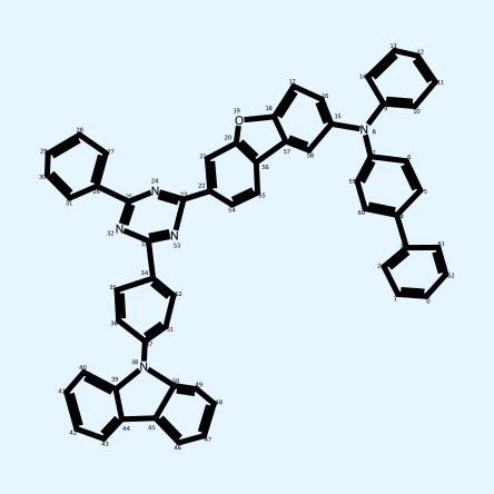 c1ccc(-c2ccc(N(c3ccccc3)c3ccc4oc5cc(-c6nc(-c7ccccc7)nc(-c7ccc(-n8c9ccccc9c9ccccc98)cc7)n6)ccc5c4c3)cc2)cc1